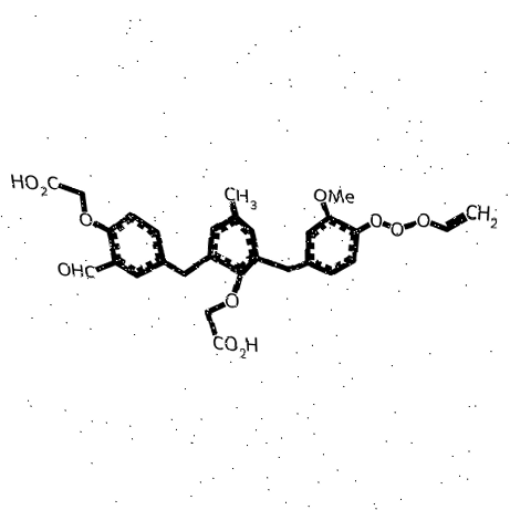 C=COOOc1ccc(Cc2cc(C)cc(Cc3ccc(OCC(=O)O)c(C=O)c3)c2OCC(=O)O)cc1OC